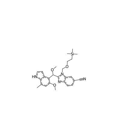 COc1cc(C)c2[nH]ccc2c1C(OC)c1nc2ccc(C#N)cc2n1COCC[Si](C)(C)C